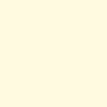 CC#COc1cccc(C(=O)O)c1